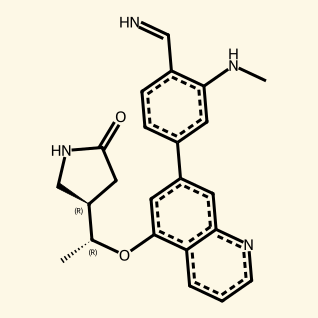 CNc1cc(-c2cc(O[C@H](C)[C@H]3CNC(=O)C3)c3cccnc3c2)ccc1C=N